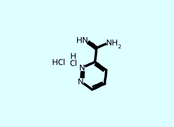 Cl.Cl.N=C(N)c1cccnn1